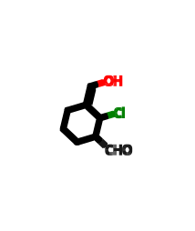 O=CC1CCCC(=CO)C1Cl